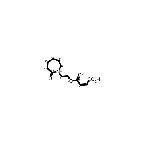 O=C(O)/C=C\C(=O)OCCN1CCCCCC1=O